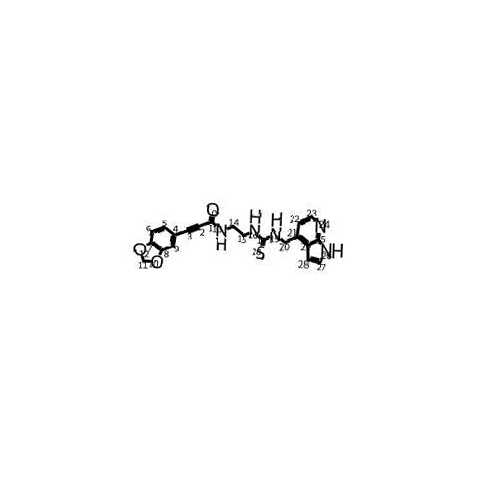 O=C(C#Cc1ccc2c(c1)OCO2)NCCNC(=S)NCc1ccnc2[nH]ccc12